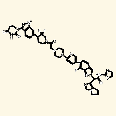 Cn1nc(N2CCC(=O)NC2=O)c2ccc(C3CCN(C(=O)CN4CCN(c5ccc(-c6ccc7cn(C(C(=O)Nc8nccs8)c8ncn9c8CCC9)nc7c6F)cn5)CC4)CC3(F)F)cc21